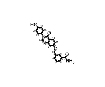 NC(=O)c1cccc(COc2ccc3c(=O)n(-c4ccc(O)cc4)cnc3c2)c1